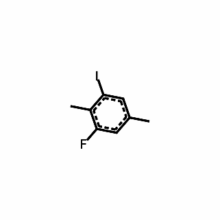 Cc1cc(F)c(C)c(I)c1